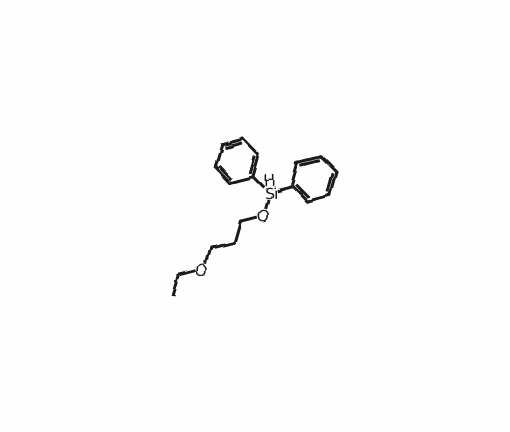 CCOCCCO[SiH](c1ccccc1)c1ccccc1